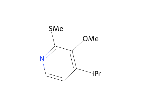 COc1c(C(C)C)ccnc1SC